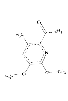 COc1cc(N)c(C(N)=O)nc1OC